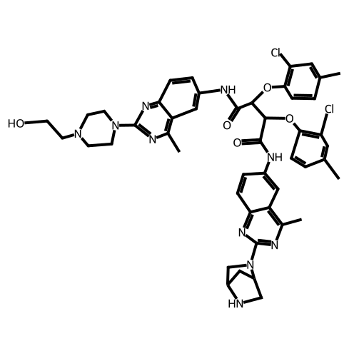 Cc1ccc(OC(C(=O)Nc2ccc3nc(N4CCN(CCO)CC4)nc(C)c3c2)C(Oc2ccc(C)cc2Cl)C(=O)Nc2ccc3nc(N4CC5CC4CN5)nc(C)c3c2)c(Cl)c1